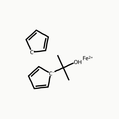 CC(C)(O)[c-]1cccc1.[Fe+2].c1cc[cH-]c1